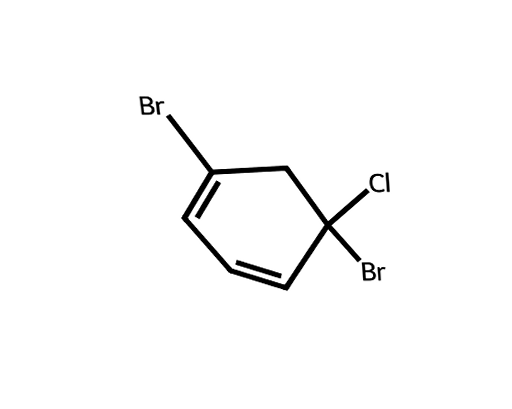 ClC1(Br)C=CC=C(Br)C1